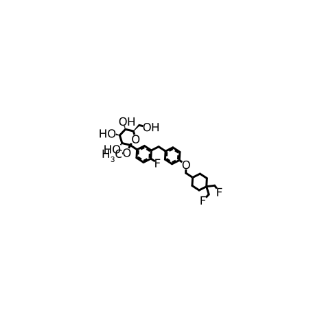 COC1(c2ccc(F)c(Cc3ccc(OCC4CCC(CF)(CF)CC4)cc3)c2)O[C@H](CO)[C@@H](O)[C@H](O)[C@H]1O